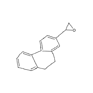 c1ccc2c(c1)CCc1cc(C3CO3)ccc1-2